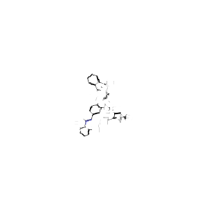 CCn1cc(S(=O)(=O)N2C[C@H]([C@@H](C)N3C(=O)c4ccccc4C3=O)Oc3ccc(/C=C(\C)c4c(F)cccc4Cl)cc32)c(Cl)n1